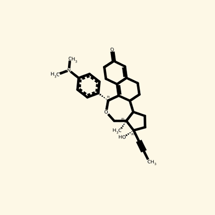 CC#C[C@]1(O)CCC2C3CCC4=CC(=O)CCC4=C3[C@@H](c3ccc(N(C)C)cc3)OC[C@@]21C